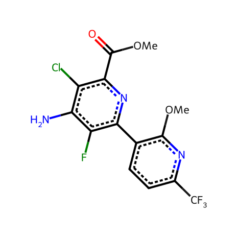 COC(=O)c1nc(-c2ccc(C(F)(F)F)nc2OC)c(F)c(N)c1Cl